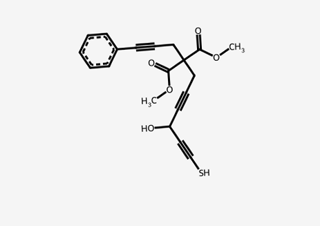 COC(=O)C(CC#Cc1ccccc1)(CC#CC(O)C#CS)C(=O)OC